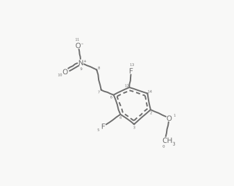 COc1cc(F)c(CC[N+](=O)[O-])c(F)c1